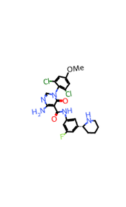 COc1cc(Cl)c(-n2cnc(N)c(C(=O)Nc3cc(F)cc([C@H]4CCCCN4)c3)c2=O)c(Cl)c1